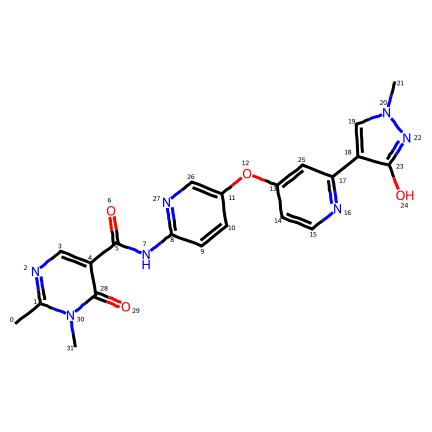 Cc1ncc(C(=O)Nc2ccc(Oc3ccnc(-c4cn(C)nc4O)c3)cn2)c(=O)n1C